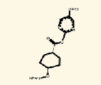 CCCCCCc1cnc(OC(=O)[C@H]2CC[C@H](OCCCCC)CC2)nc1